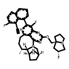 C#Cc1c(F)ccc2cccc(-c3nc4c5c(nc(OC[C@@]67CCCN6C[C@H](F)C7)nc5c3F)N3C[C@H]5CC[C@H](N5)[C@@H]3[C@H](C)CC4)c12